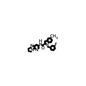 Cc1ccc2c(c1)cc(C(=O)Nc1cnc3c(c1)nc1n3CCC1)n2Cc1cccc(F)c1